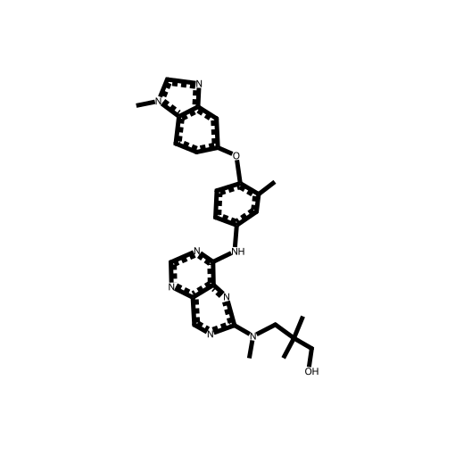 Cc1cc(Nc2ncnc3cnc(N(C)CC(C)(C)CO)nc23)ccc1Oc1ccc2c(c1)ncn2C